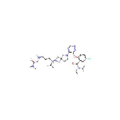 CCN(C(=O)c1cc(F)ccc1Oc1nncnc1N1CCC2(C1)CN([C@H](CCCN(C)CC(=O)N(C)C)C(C)C)C2)C(C)C